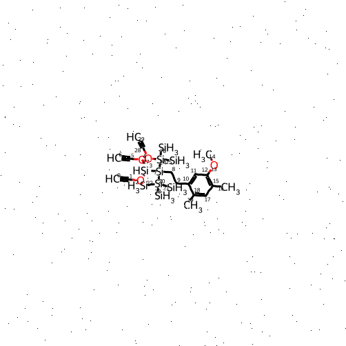 C#CO[SiH](OC#C)[Si](CCc1cc(OC)c(C)cc1C)([Si]([SiH3])([SiH3])[SiH3])[Si]([SiH3])([SiH3])OC#C